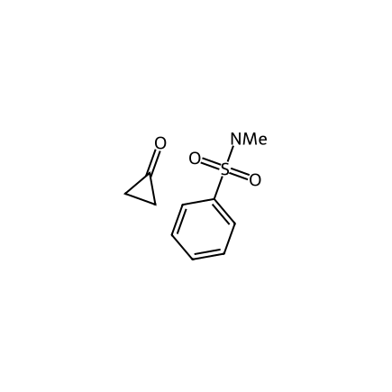 CNS(=O)(=O)c1ccccc1.O=C1CC1